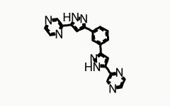 c1cc(-c2cc(-c3cnccn3)[nH]n2)cc(-c2cc(-c3cnccn3)[nH]n2)c1